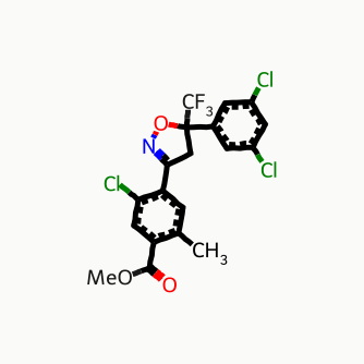 COC(=O)c1cc(Cl)c(C2=NOC(c3cc(Cl)cc(Cl)c3)(C(F)(F)F)C2)cc1C